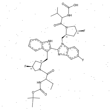 CCC(NC(=O)OC(C)(C)C)C(=O)N1C[C@@H](F)C[C@H]1Cc1c(-c2nc3cc(F)ccc3n2C[C@@H]2C[C@H](F)CN2C(=O)C(NC(=O)O)C(C)C)[nH]c2ccccc12